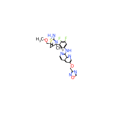 COC[C@]12C[C@H]1[C@@](C)(c1cc(Nc3nccc4cc(OCc5ncon5)cnc34)cc(F)c1F)N=C(N)S2